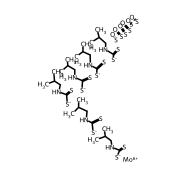 CC(C)CNC(=S)[S-].CC(C)CNC(=S)[S-].CC(C)CNC(=S)[S-].CC(C)CNC(=S)[S-].CC(C)CNC(=S)[S-].CC(C)CNC(=S)[S-].O=S.O=S.O=S.O=S.O=S.O=S.[Mo+6]